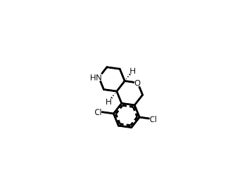 Clc1ccc(Cl)c2c1CO[C@@H]1CCNC[C@H]21